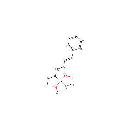 CCC(NCC=Cc1ccccc1)[Si](OC)(OC)OC